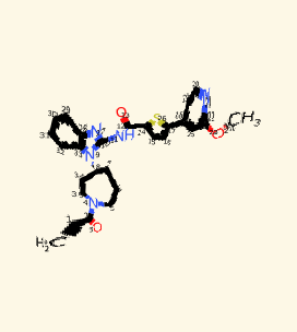 C=CC(=O)N1CCC[C@@H](n2c(NC(=O)c3ccc(-c4ccnc(OC)c4)s3)nc3ccccc32)CC1